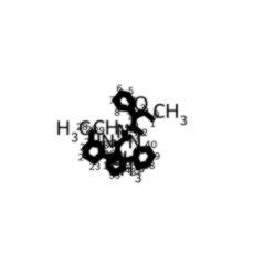 CCc1oc2ccccc2c1-c1cn2c(n1)C(Nc1c(C(C)C)cccc1C(C)C)c1ccccc1-c1ccccc1-2